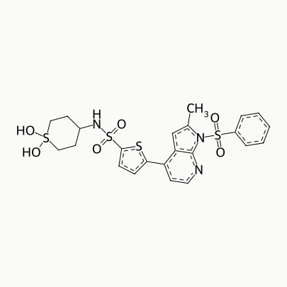 Cc1cc2c(-c3ccc(S(=O)(=O)NC4CCS(O)(O)CC4)s3)ccnc2n1S(=O)(=O)c1ccccc1